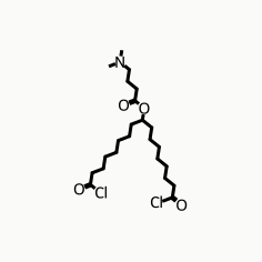 CN(C)CCCC(=O)OC(CCCCCCCC(=O)Cl)CCCCCCCC(=O)Cl